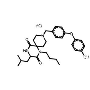 CCCCN1C(=O)C(CC(C)C)NC(=O)C12CCN(Cc1ccc(Oc3ccc(O)cc3)cc1)CC2.Cl